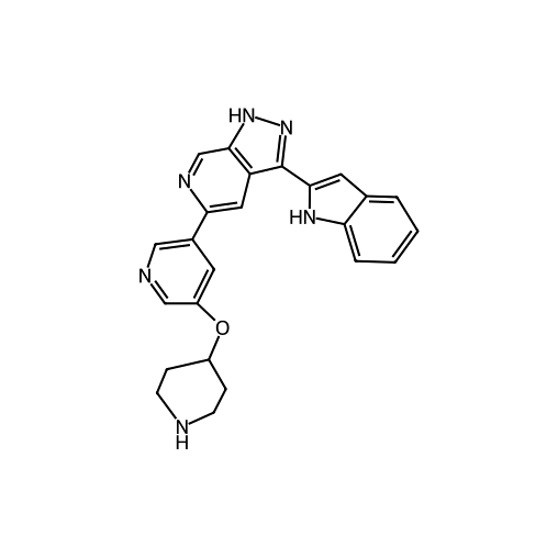 c1ccc2[nH]c(-c3n[nH]c4cnc(-c5cncc(OC6CCNCC6)c5)cc34)cc2c1